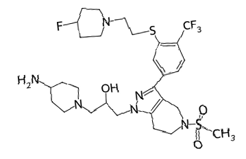 CS(=O)(=O)N1CCc2c(c(-c3ccc(C(F)(F)F)c(SCCN4CCC(F)CC4)c3)nn2CC(O)CN2CCC(N)CC2)C1